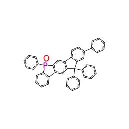 O=P1(c2ccccc2)c2ccccc2-c2cc3c(cc21)-c1ccc(-c2ccccc2)cc1C3(c1ccccc1)c1ccccc1